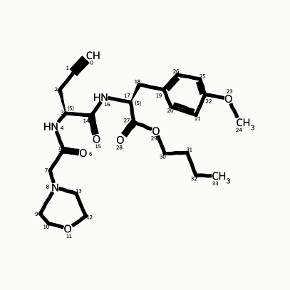 C#CC[C@H](NC(=O)CN1CCOCC1)C(=O)N[C@@H](Cc1ccc(OC)cc1)C(=O)OCCCC